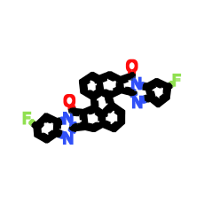 O=c1c2c(cc3cccc4c3c2c2cccc3cc5c(=O)n6c7cc(F)ccc7nc6c5c4c32)c2nc3ccc(F)cc3n12